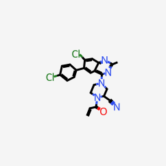 C=CC(=O)N1CCN(c2nc(C)nc3cc(Cl)c(-c4ccc(Cl)cc4)cc23)CC1C#N